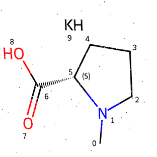 CN1CCC[C@H]1C(=O)O.[KH]